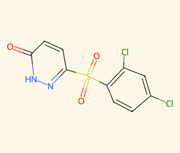 O=c1ccc(S(=O)(=O)c2ccc(Cl)cc2Cl)n[nH]1